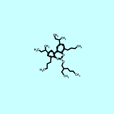 CCCCc1cc(C(C)CC)cc2c1op(OCC(CC)CCCC)oc1c(CCCC)cc(C(C)CC)cc12